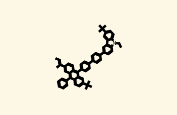 C/C=C(\C)c1ccc2c(-c3ccc(-c4ccc(-c5ccc6c(c5)c5cc(C(C)(C)C)ccc5n6CC)cc4)cc3)c3cc(C(C)(C)C)ccc3c(-c3ccccc3)c2c1